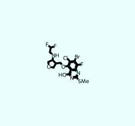 CSc1nc(O)c2c(OCC3COCC3NCC(F)F)c(Cl)c(Br)c(F)c2n1